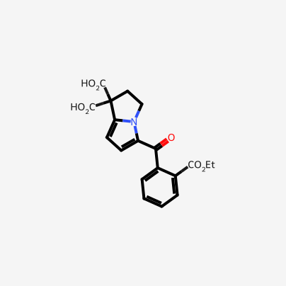 CCOC(=O)c1ccccc1C(=O)c1ccc2n1CCC2(C(=O)O)C(=O)O